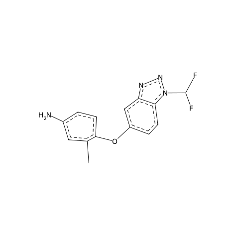 Cc1cc(N)ccc1Oc1ccc2c(c1)nnn2C(F)F